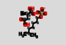 CC(C)CCCCCOS(=O)(=O)[O-].O=C(O)CCC(=O)O.[Na+]